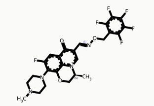 C[C@H]1COc2c(N3CCN(C)CC3)c(F)cc3c(=O)c(/C=N/OCc4c(F)c(F)c(F)c(F)c4F)cn1c23